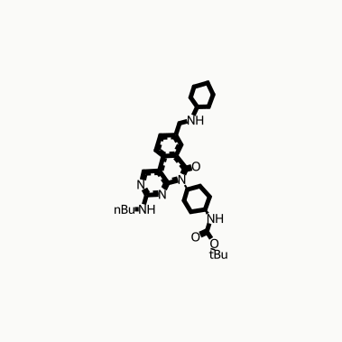 CCCCNc1ncc2c3ccc(CNC4CCCCC4)cc3c(=O)n([C@H]3CC[C@H](NC(=O)OC(C)(C)C)CC3)c2n1